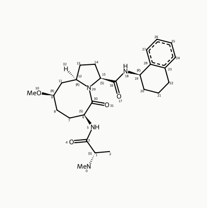 CN[C@@H](C)C(=O)N[C@H]1CC[C@@H](OC)C[C@H]2CC[C@@H](C(=O)N[C@@H]3CCCc4ccccc43)N2C1=O